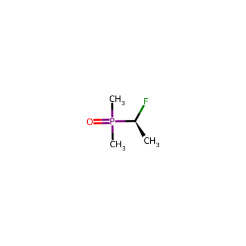 C[C@H](F)P(C)(C)=O